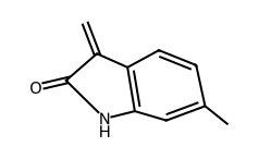 C=C1C(=O)Nc2cc(C)ccc21